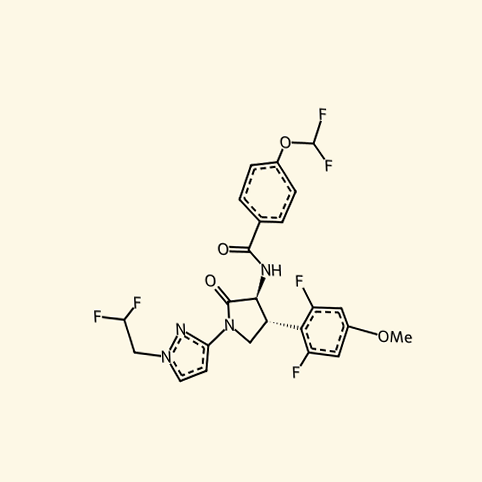 COc1cc(F)c([C@@H]2CN(c3ccn(CC(F)F)n3)C(=O)[C@H]2NC(=O)c2ccc(OC(F)F)cc2)c(F)c1